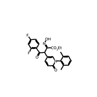 CCOC(=O)C(=NO)C(C(=O)c1ccc(F)cc1F)c1ccc(=O)n(-c2c(C)cccc2C)c1